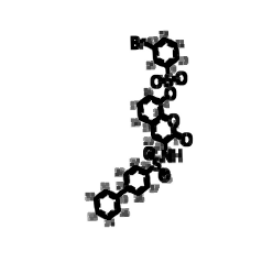 O=c1oc2c(OS(=O)(=O)c3cccc(Br)c3)cccc2cc1NS(=O)(=O)c1ccc(-c2ccccc2)cc1